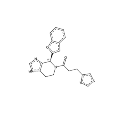 O=C(CCc1cscn1)N1CCc2[nH]cnc2[C@H]1c1cc2ccccc2o1